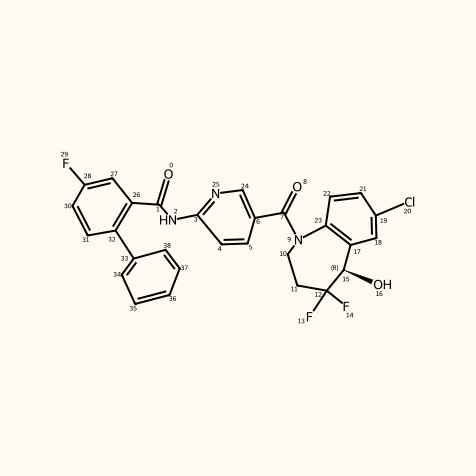 O=C(Nc1ccc(C(=O)N2CCC(F)(F)[C@H](O)c3cc(Cl)ccc32)cn1)c1cc(F)ccc1-c1ccccc1